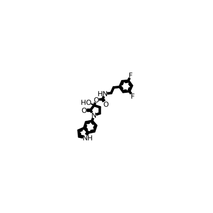 O=C(NCCc1cc(F)cc(F)c1)O[C@]1(O)CCN(c2ccc3[nH]ccc3c2)C1=O